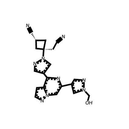 N#CC[C@]1(n2cc(-c3nc(-c4cnn(CO)c4)cn4nccc34)cn2)C[C@H](C#N)C1